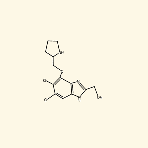 OCc1nc2c(OCC3CCCN3)c(Cl)c(Cl)cc2[nH]1